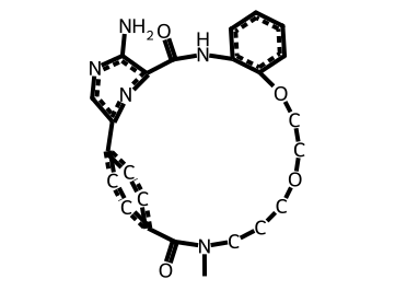 CN1CCCOCCOc2ccccc2NC(=O)c2nc(cnc2N)-c2ccc(cc2)C1=O